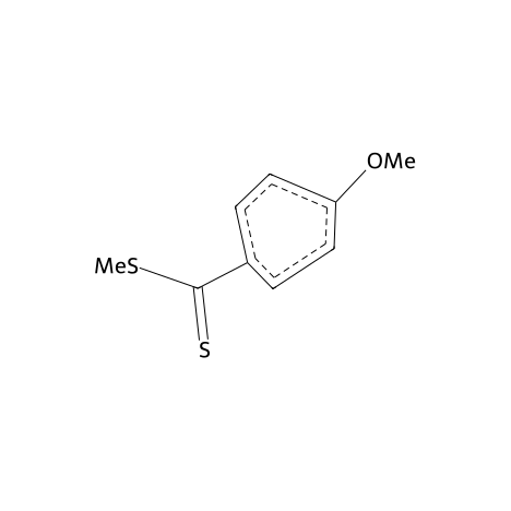 COc1ccc(C(=S)SC)cc1